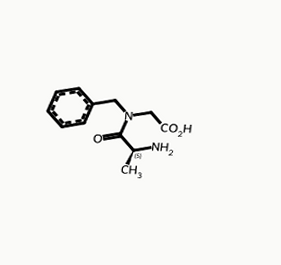 C[C@H](N)C(=O)N(CC(=O)O)Cc1ccccc1